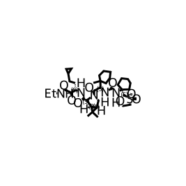 CCNC(=O)C(=O)[C@H](CCC1CC1)NC(=O)[C@@H]1[C@@H]2[C@H](CN1C(=O)[C@@H](NC(=O)NC1([C@H]3OCCS3(=O)=O)CCCCC1)C1(C)CCCCC1)C2(C)C